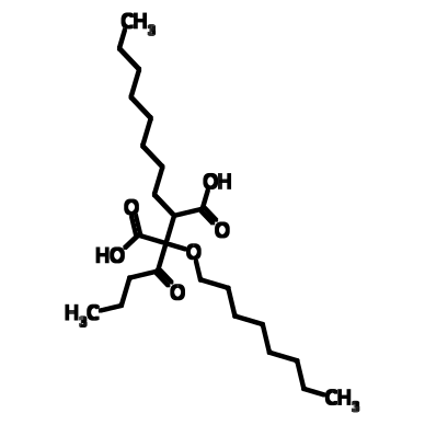 CCCCCCCCOC(C(=O)O)(C(=O)CCC)C(CCCCCCCC)C(=O)O